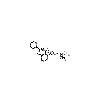 CN(C)CCOc1cccc(OCc2ccccc2)c1[N+](=O)[O-]